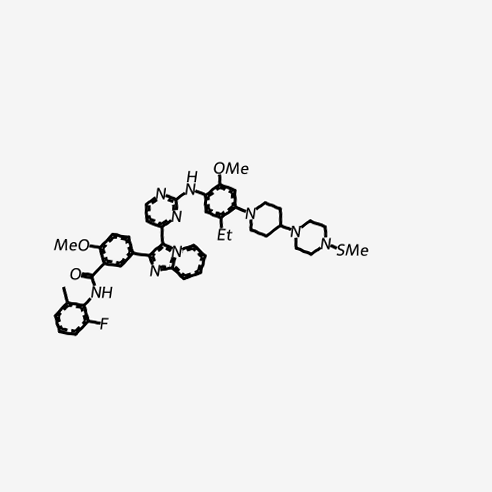 CCc1cc(Nc2nccc(-c3c(-c4ccc(OC)c(C(=O)Nc5c(C)cccc5F)c4)nc4ccccn34)n2)c(OC)cc1N1CCC(N2CCN(SC)CC2)CC1